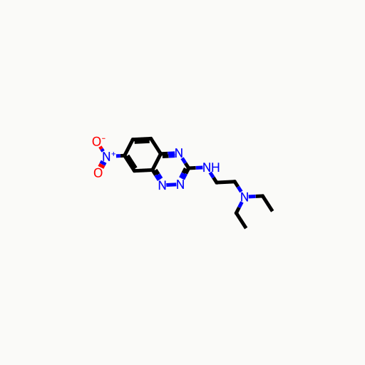 CCN(CC)CCNc1nnc2cc([N+](=O)[O-])ccc2n1